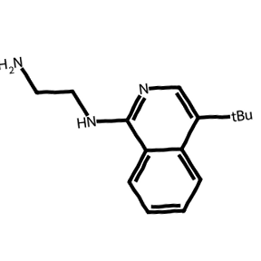 CC(C)(C)c1cnc(NCCN)c2ccccc12